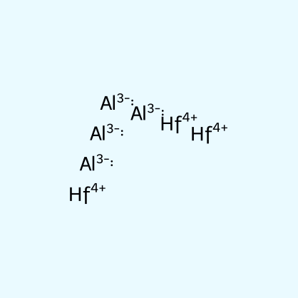 [Al-3].[Al-3].[Al-3].[Al-3].[Hf+4].[Hf+4].[Hf+4]